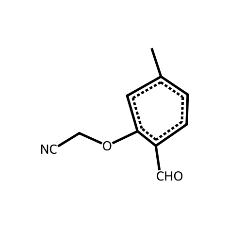 Cc1ccc(C=O)c(OCC#N)c1